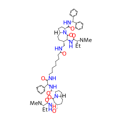 CC[C@H](NC)C(=O)N[C@@H]1C(=O)N2[C@@H](CC[C@@H]1CNC(=O)CCCCCCCNC(=O)[C@@H](NC(=O)[C@@H]1CC[C@@H]3CC[C@H](CO)[C@H](NC(=O)[C@H](CC)NC)C(=O)N31)c1ccccc1)CC[C@H]2C(=O)NC(c1ccccc1)c1ccccc1